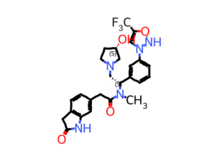 CN(C(=O)Cc1ccc2c(c1)NC(=O)C2)[C@H](CN1CC[C@H](O)C1)c1cccc(N2C=C(C(F)(F)F)ON2)c1